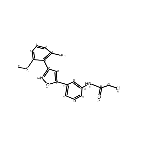 CSc1cccc(F)c1-c1cc(-c2cccc(NC(=O)CCl)c2)on1